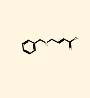 O=C(O)/C=C/CNCc1ccccc1